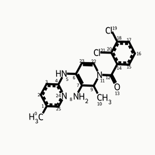 Cc1ccc(NC2=C(N)C(C)N(C(=O)c3cccc(Cl)c3Cl)C=C2)nc1